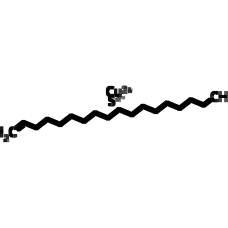 C=CCCCCCCCCCCCCCCCC.[Cu+2].[S-2]